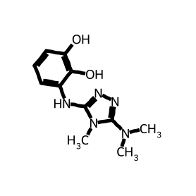 CN(C)c1nnc(Nc2cccc(O)c2O)n1C